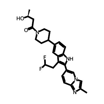 Cc1cn2cc(-c3[nH]c4ccc(C5CCN(C(=O)C[C@H](C)O)CC5)cc4c3CC(F)F)ccc2n1